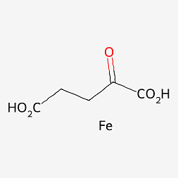 O=C(O)CCC(=O)C(=O)O.[Fe]